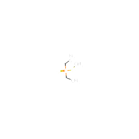 CCP(=S)(CC)SC